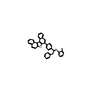 Cc1ccccc1/N=C(\Cc1ccccc1)c1ccc(-c2cc3ccccc3c3c2oc2ccc4ccccc4c23)cc1